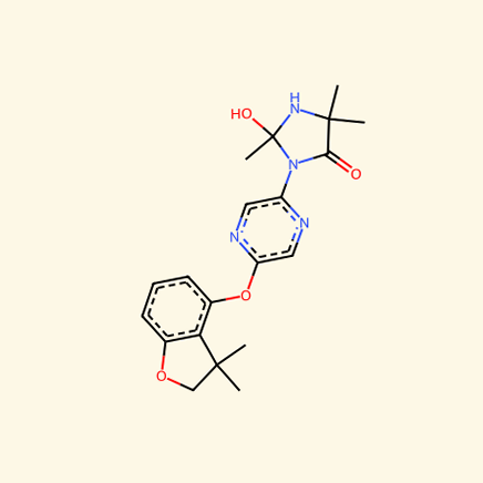 CC1(C)NC(C)(O)N(c2cnc(Oc3cccc4c3C(C)(C)CO4)cn2)C1=O